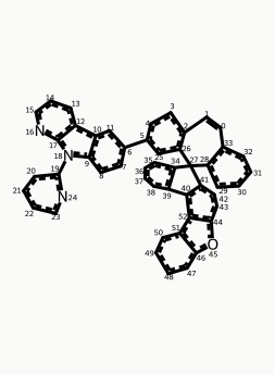 C1=Cc2ccc(-c3ccc4c(c3)c3cccnc3n4-c3ccccn3)cc2C2(c3ccccc31)c1ccccc1-c1c2ccc2oc3ccccc3c12